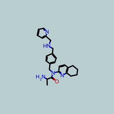 CC(N)C(=O)N(Cc1ccc(CNCc2ccccn2)cc1)c1ccc2c(n1)CCCC2